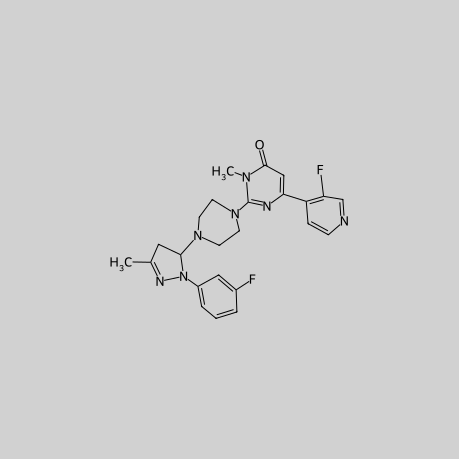 CC1=NN(c2cccc(F)c2)C(N2CCN(c3nc(-c4ccncc4F)cc(=O)n3C)CC2)C1